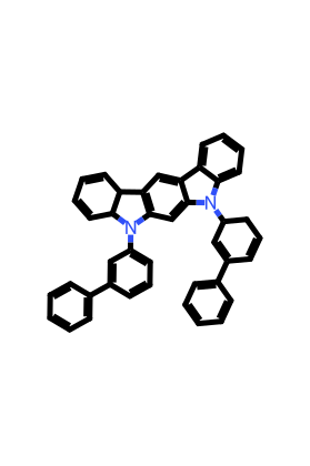 C1=CC2c3cc4c5ccccc5n(C5C=C(c6ccccc6)C=CC5)c4cc3N(c3cccc(-c4ccccc4)c3)C2C=C1